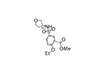 CCOc1ccc(S(=O)(=O)N[C@H]2CCOC2)cc1C(=O)OC